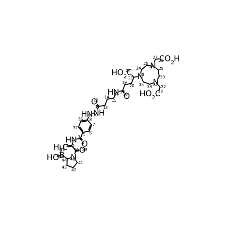 C=C(NC(=O)c1ccc(NNC(=O)CCCNC(=O)CCC(C(=O)O)N2CCN(CC(=O)O)CCN(CC(=O)O)CC2)cc1)C(=O)N1CCCC1BO